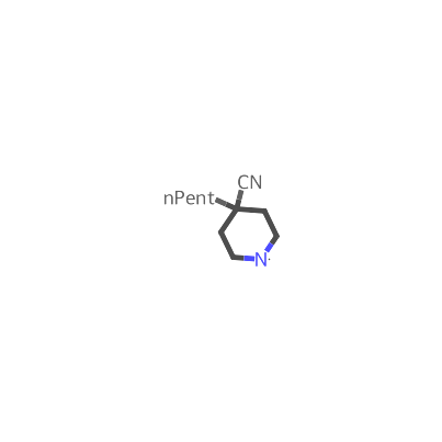 CCCCCC1(C#N)CC[N]CC1